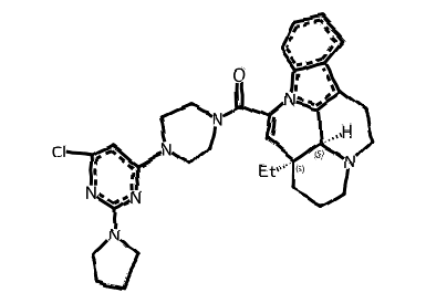 CC[C@@]12C=C(C(=O)N3CCN(c4cc(Cl)nc(N5CCCC5)n4)CC3)n3c4c(c5ccccc53)CCN(CCC1)[C@H]42